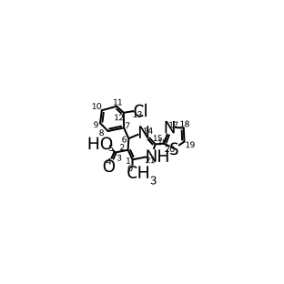 CC1=C(C(=O)O)C(c2ccccc2Cl)N=C(c2nccs2)N1